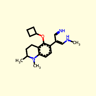 CN/C=C(\C=N)c1ccc2c(c1OC1CCC1)CCC(C)N2C